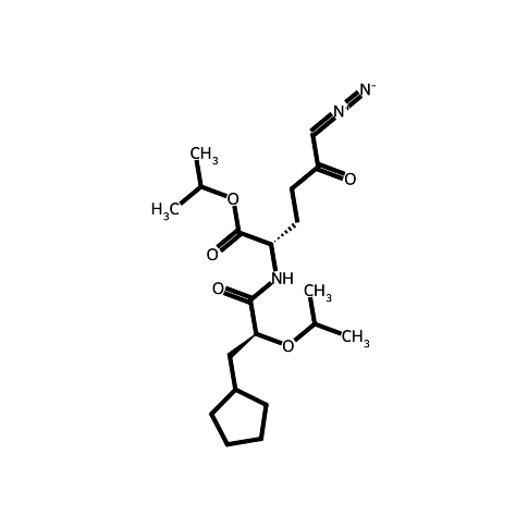 CC(C)OC(=O)[C@H](CCC(=O)C=[N+]=[N-])NC(=O)[C@H](CC1CCCC1)OC(C)C